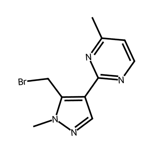 Cc1ccnc(-c2cnn(C)c2CBr)n1